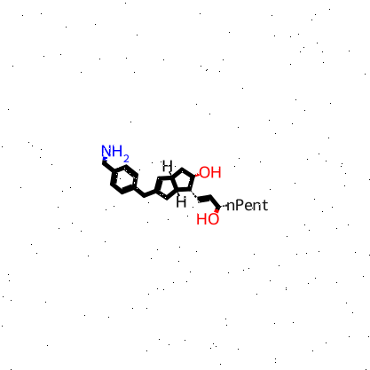 CCCCC[C@H](O)/C=C/[C@@H]1[C@H]2CC(Cc3ccc(CN)cc3)=C[C@H]2C[C@H]1O